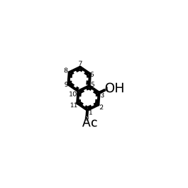 CC(=O)c1cc(O)c2ccccc2c1